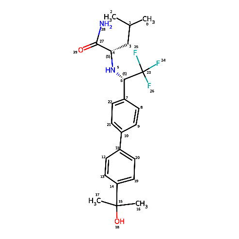 CC(C)C[C@H](N[C@@H](c1ccc(-c2ccc(C(C)(C)O)cc2)cc1)C(F)(F)F)C(N)=O